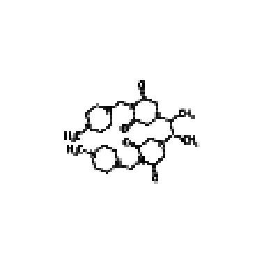 CC(C(C)N1CC(=O)N(CN2CCN(C)CC2)C(=O)C1)N1CC(=O)N(CN2CCN(C)CC2)C(=O)C1